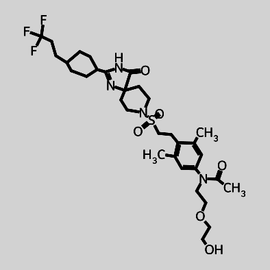 CC(=O)N(CCOCCO)c1cc(C)c(CCS(=O)(=O)N2CCC3(CC2)N=C(C2CCC(CCC(F)(F)F)CC2)NC3=O)c(C)c1